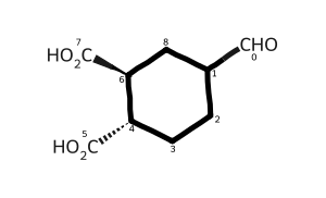 O=CC1CC[C@H](C(=O)O)[C@@H](C(=O)O)C1